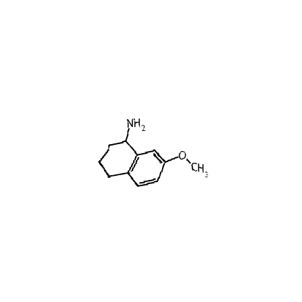 COc1ccc2c(c1)C(N)CCC2